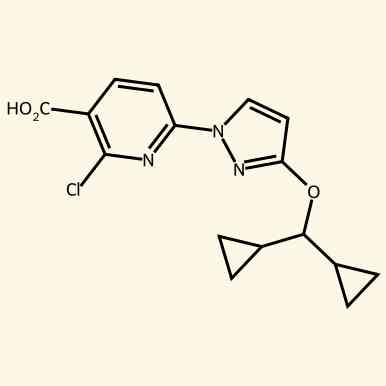 O=C(O)c1ccc(-n2ccc(OC(C3CC3)C3CC3)n2)nc1Cl